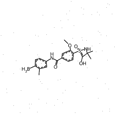 Bc1ccc(NC(=O)c2ccc(S3(=O)=C(O)C(C)(C)N3)c(OC)c2)cc1C